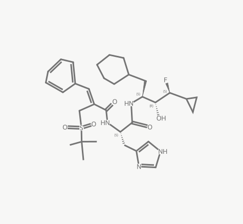 CC(C)(C)S(=O)(=O)CC(=Cc1ccccc1)C(=O)N[C@@H](Cc1c[nH]cn1)C(=O)N[C@@H](CC1CCCCC1)[C@@H](O)[C@@H](F)C1CC1